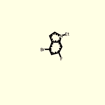 CCn1ccc2c(Br)cc(F)cc21